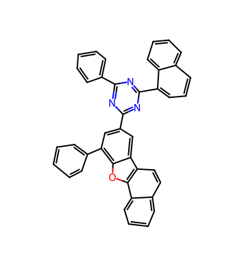 c1ccc(-c2nc(-c3cc(-c4ccccc4)c4oc5c6ccccc6ccc5c4c3)nc(-c3cccc4ccccc34)n2)cc1